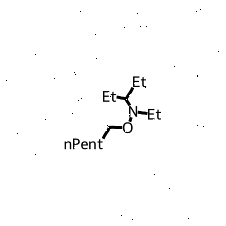 CCCCCCON(CC)C(CC)CC